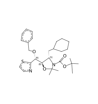 CC(C)(C)OC(=O)N1[C@@H](CC2CCCCC2)[C@H]([C@@H](OCc2ccccc2)c2nccs2)OC1(C)C